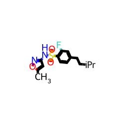 Cc1cc(NS(=O)(=O)c2ccc(CCC(C)C)cc2F)no1